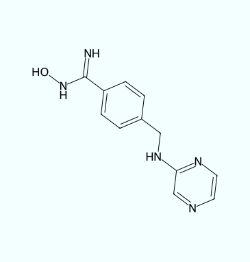 N=C(NO)c1ccc(CNc2cnccn2)cc1